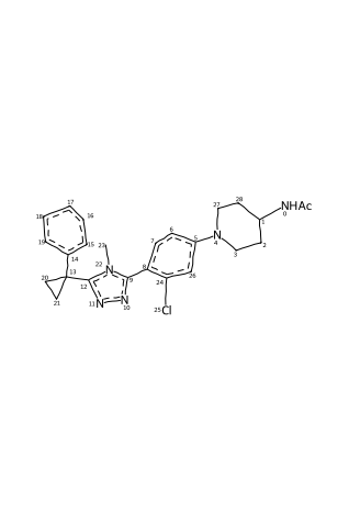 CC(=O)NC1CCN(c2ccc(-c3nnc(C4(c5ccccc5)CC4)n3C)c(Cl)c2)CC1